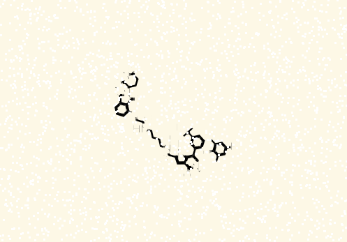 Cc1cc(F)cc(C)c1Oc1ccc(C(C)(C)O)cc1-c1cn(C)c(=O)c2cc(C(=O)NCCCCNC(=O)COc3cccc4c3C(=O)N(C3CCC(=O)NC3=O)C4=O)[nH]c12